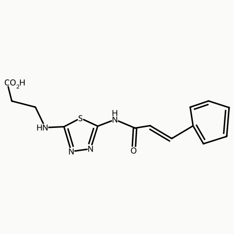 O=C(O)CCNc1nnc(NC(=O)/C=C/c2ccccc2)s1